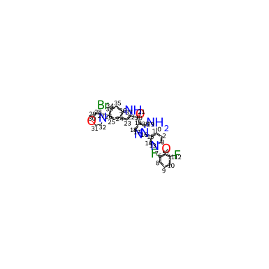 Cc1cc(Oc2c(F)cccc2F)ncc1-n1ncc(C(=O)c2cc3cc(N4CCOCC4)c(Br)cc3[nH]2)c1N